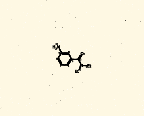 CCN(CC)C(=O)c1cccc(N)c1